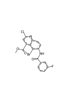 COC(=O)c1cc(Cl)nc2ccc(NC(=O)c3cccc(F)c3)c(Br)c12